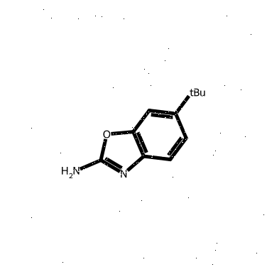 CC(C)(C)c1ccc2nc(N)oc2c1